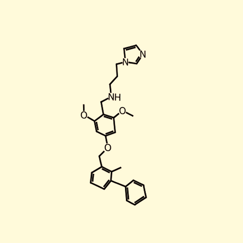 COc1cc(OCc2cccc(-c3ccccc3)c2C)cc(OC)c1CNCCCn1ccnc1